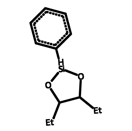 CCC1O[SiH](c2ccccc2)OC1CC